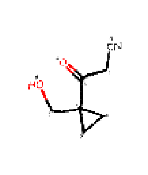 N#CCC(=O)C1(CO)CC1